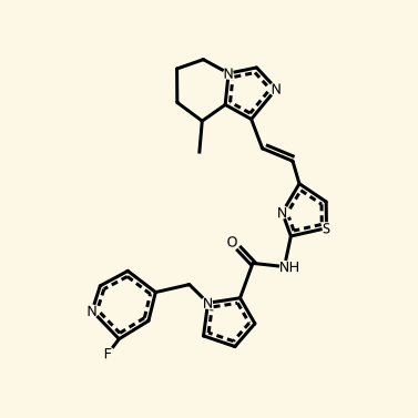 CC1CCCn2cnc(/C=C/c3csc(NC(=O)c4cccn4Cc4ccnc(F)c4)n3)c21